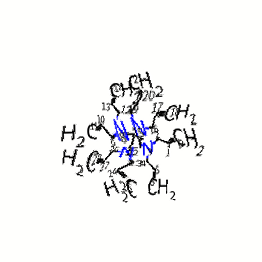 C=CC[N](CC=C)[Zr]([N](CC=C)CC=C)([N](CC=C)CC=C)[N](CC=C)CC=C